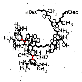 CCCCCCCCCCCCCC(C)C(=O)OCC(CSCC(N)C(=O)N[C@@H](CO)C(=O)NC(CO)C(=O)NCCCCC(C(N)=O)C(C(N[C@H](C=O)CCCNC(=N)N)N[C@H](C=O)CCCNC(=N)N)C(N[C@H](C=O)CCCNC(=N)N)N[C@H](C=O)CCCNC(=N)N)OC(=O)C(C)CCCCCCCCCCCCC